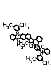 Cc1cc(C)cc(N(c2ccc3c4c(ccc3c2)-c2c(c3ccc(N(c5cc(C)cc(C)c5)c5ccccc5C)cc3c3ccccc23)C4(C)C)c2ccccc2C)c1